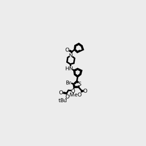 COC(=O)c1sc(-c2cccc(NC3CCN(C(=O)c4ccccc4)CC3)c2)c(Br)c1OCC(=O)OC(C)(C)C